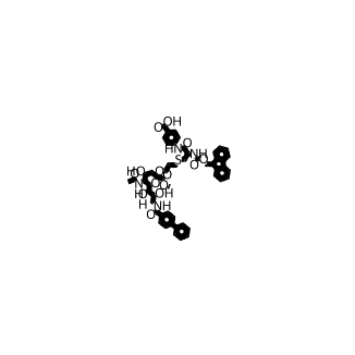 COC(=O)[C@@]1(OCCCSCC(NC(=O)OCC2c3ccccc3-c3ccccc32)C(=O)Nc2ccc(C(=O)O)cc2)C[C@@H](O)C(NC(C)=O)C([C@H](O)C(O)CNC(=O)c2ccc(-c3ccccc3)cc2)O1